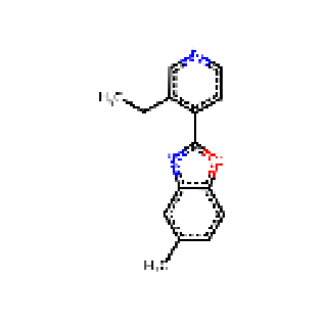 CCc1cnccc1-c1nc2cc(C)ccc2o1